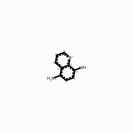 Nc1ccc(S)c2ncccc12